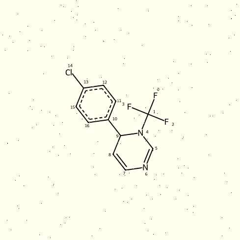 FC(F)(F)N1[C]=NC=CC1c1ccc(Cl)cc1